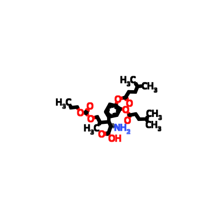 CCCOC(=O)OCC(C)C(c1ccc(OC(=O)CCC(C)C)c(OC(=O)CCC(C)C)c1)[C@H](N)C(=O)O